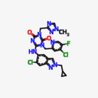 Cn1cnc(Cn2c(=O)nc(Nc3cc4cn(CC5CC5)nc4cc3Cl)n(Cc3cc(Cl)c(F)cn3)c2=O)n1